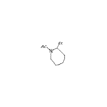 [CH2]CC1CCCCN1C(C)=O